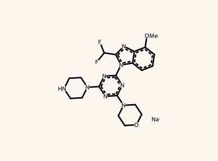 COc1cccc2c1nc(C(F)F)n2-c1nc(N2CCNCC2)nc(N2CCOCC2)n1.[Na]